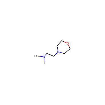 [CH2]CN(C)CCN1CCOCC1